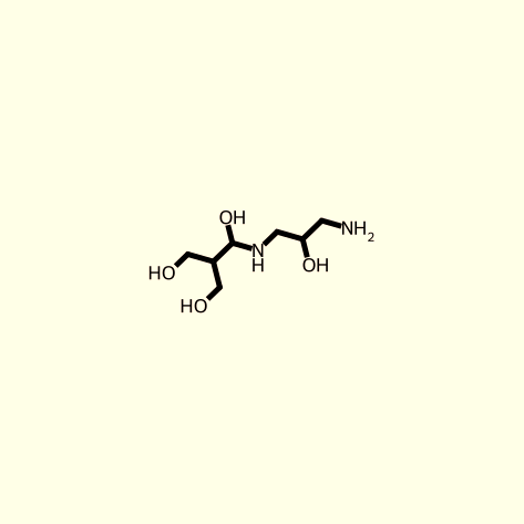 NCC(O)CNC(O)C(CO)CO